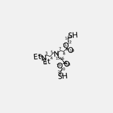 CCN(CC)CCCN(CCC(=O)OCCS)CCC(=O)OCCS